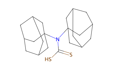 S=C(S)N(C12CC3CC(CC(C3)C1)C2)C12CC3CC(CC(C3)C1)C2